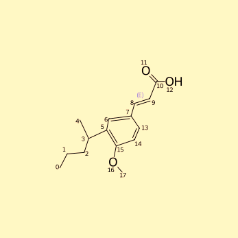 CCCC(C)c1cc(/C=C/C(=O)O)ccc1OC